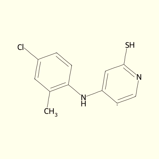 Cc1cc(Cl)ccc1Nc1[c]cnc(S)c1